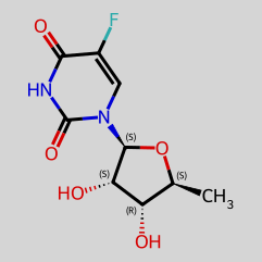 C[C@@H]1O[C@H](n2cc(F)c(=O)[nH]c2=O)[C@@H](O)[C@H]1O